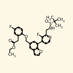 CCOC(=O)Cc1cc(F)ccc1OCc1cc(-c2ccnc(CN[S@+]([O-])C(C)(C)C)c2F)c2occc2c1